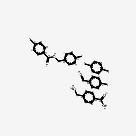 Cc1ccc(C)cc1.Cc1ccc(C=O)cc1.Cc1ccc(COC(=O)c2ccc(C)cc2)cc1.O=C(O)c1ccc(CO)cc1